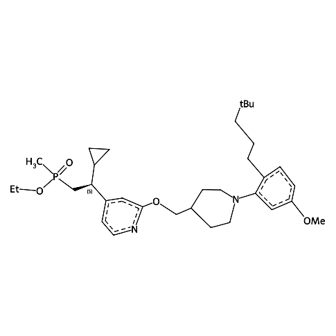 CCOP(C)(=O)C[C@H](c1ccnc(OCC2CCN(c3cc(OC)ccc3CCCC(C)(C)C)CC2)c1)C1CC1